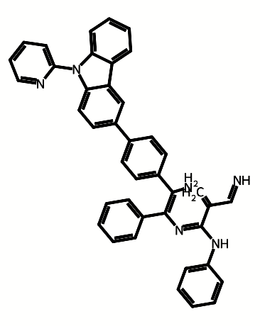 C=C(C=N)/C(=N\C(=C(/N)c1ccc(-c2ccc3c(c2)c2ccccc2n3-c2ccccn2)cc1)c1ccccc1)Nc1ccccc1